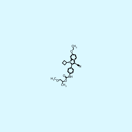 CCOc1ccc2c(C#N)c(-c3ccc(NC(=O)OC(C)COC)cc3)n(C3CCC3)c2c1